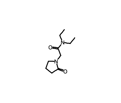 CCN(CC)C(=O)CN1CCCC1=O